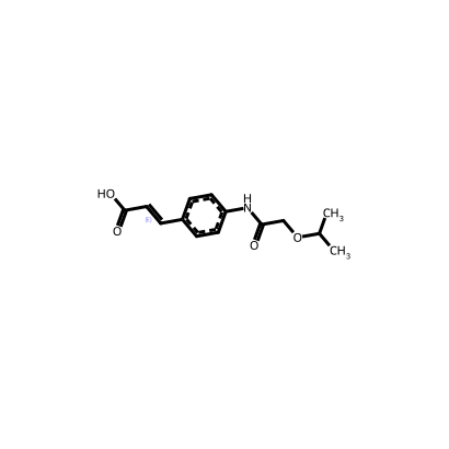 CC(C)OCC(=O)Nc1ccc(/C=C/C(=O)O)cc1